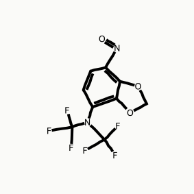 O=Nc1ccc(N(C(F)(F)F)C(F)(F)F)c2c1OCO2